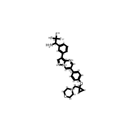 NC(c1cccc(-c2cnn3cc(-c4ccc(OC5(CN6CCOCC6)CC5)cc4)cnc23)c1)C(F)(F)F